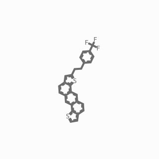 FC(F)(F)c1ccc(CCc2cc3ccc4cc5c(ccc6ccsc65)cc4c3s2)cc1